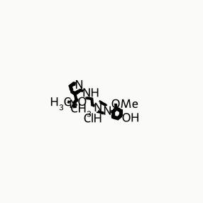 COc1cc(O)ccc1N1CCN(CCCNc2ncccc2C(=O)N(C)C)CC1.Cl